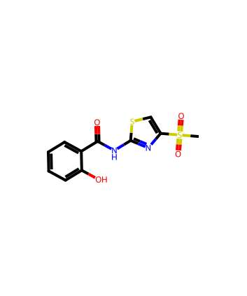 CS(=O)(=O)c1csc(NC(=O)c2ccccc2O)n1